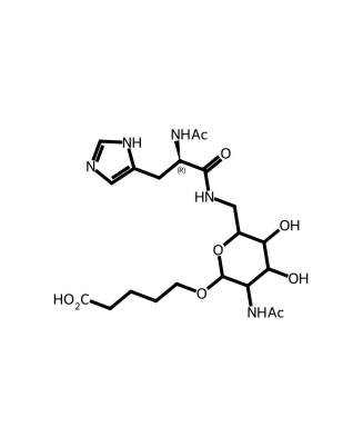 CC(=O)NC1C(OCCCCC(=O)O)OC(CNC(=O)[C@@H](Cc2cnc[nH]2)NC(C)=O)C(O)C1O